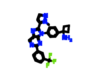 Cn1nccc1-c1nc2cnc(-c3cccc(C(F)(F)F)c3)nc2n1-c1ccc(C2(N)CCC2)cc1